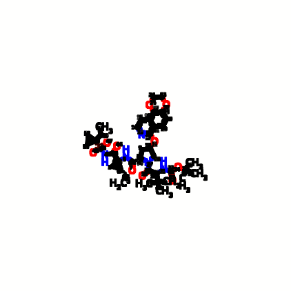 C=C[C@@H]1C[C@]1(NC(=O)[C@@H]1C[C@@H](Oc2nccc3c4c(ccc23)OCCO4)CN1C(=O)[C@@H](NC(=O)OC(C)(C)C)C(C)(C)C)C(=O)NS(=O)(=O)C1(CC)CC1